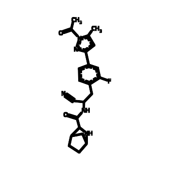 CC(=O)n1nc(-c2ccc(CC(C#N)NC(=O)C3NC4CCC3C4)c(F)c2)cc1C